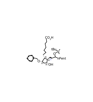 CCCCCC(/C=C/[C@@H]1[C@@H](CCCCCCC(=O)O)[C@@H](OCc2ccccc2)C[C@H]1O)O[Si](C)(C)C(C)(C)C